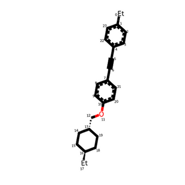 CCc1ccc(C#Cc2ccc(OC[C@H]3CC[C@H](CC)CC3)cc2)cc1